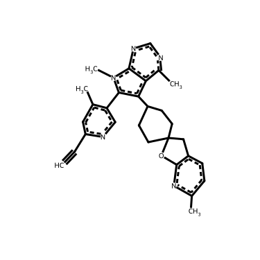 C#Cc1cc(C)c(-c2c(C3CCC4(CC3)Cc3ccc(C)nc3O4)c3c(C)ncnc3n2C)cn1